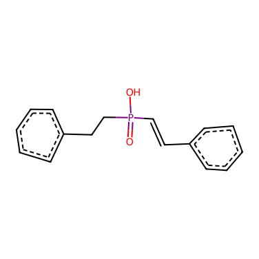 O=P(O)(C=Cc1ccccc1)CCc1ccccc1